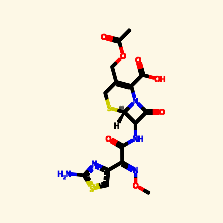 CON=C(C(=O)NC1C(=O)N2C(C(=O)O)=C(COC(C)=O)CS[C@@H]12)c1csc(N)n1